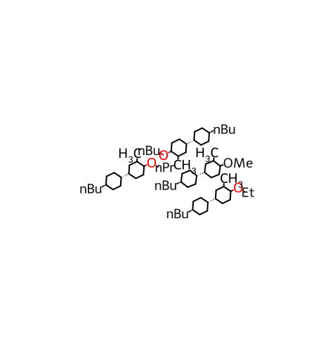 CCCCOC1CCC([C@H]2CC[C@H](CCCC)CC2)CC1C.CCCC[C@H]1CC[C@H](C2CCC(OC)C(C)C2)CC1.CCCC[C@H]1CC[C@H](C2CCC(OCC)C(C)C2)CC1.CCCC[C@H]1CC[C@H](C2CCC(OCCC)C(C)C2)CC1